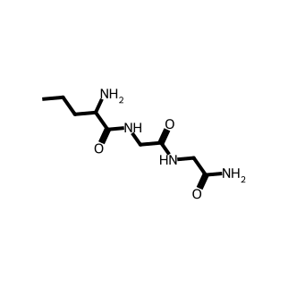 CCCC(N)C(=O)NCC(=O)NCC(N)=O